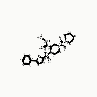 O=C(NO)[C@H]1CN(S(=O)(=O)N2CCCCC2)CCN1S(=O)(=O)c1ccc(-c2ccccc2)s1